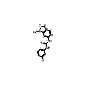 O=C(Nc1cccc(F)c1)Nc1ccc2c(c1)B(O)OC2